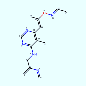 C=NC(=C)CNc1ncnc(/C=C(\C)O/N=C/C)c1C